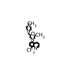 CC1CN(c2ccc(C(F)(F)F)c3ncccc23)CC(CN2CCN(C)CC2)O1